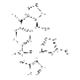 O=C(c1ccc(S(=O)(=O)Nc2nccs2)cc1)N1CCC[C@H]1COc1cccc(Cl)c1